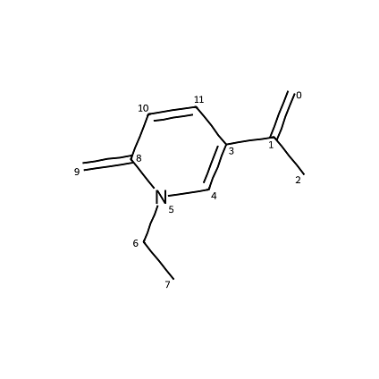 C=C(C)C1=CN(CC)C(=C)C=C1